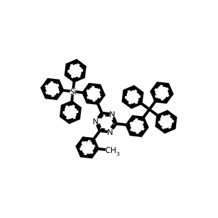 Cc1ccccc1-c1nc(-c2cccc(C(c3ccccc3)(c3ccccc3)c3ccccc3)c2)nc(-c2cccc([Si](c3ccccc3)(c3ccccc3)c3ccccc3)c2)n1